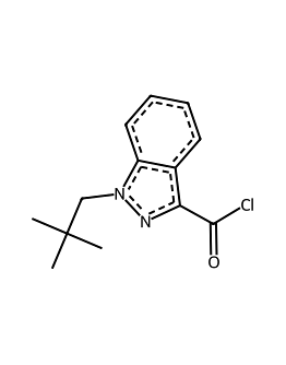 CC(C)(C)Cn1nc(C(=O)Cl)c2ccccc21